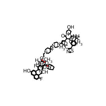 C#Cc1c(F)ccc2cc(O)cc(-c3ncc4c(N5CC6CCC(C5)N6C(=O)OC(C)(C)C)nc(OCCN5CCC(F)(CN6CCN(c7cc(C(C(=O)N8C[C@H](O)C[C@H]8C(=O)NC(C)c8ccc(-c9scnc9C)cc8)C(C)C)on7)CC6)CC5)nc4c3F)c12